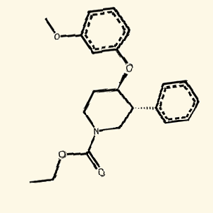 CCOC(=O)N1CC[C@@H](Oc2cccc(OC)c2)[C@H](c2ccccc2)C1